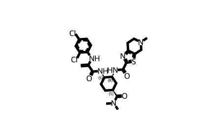 C=C(Nc1ccc(Cl)cc1Cl)C(=O)N[C@H]1CC[C@H](C(=O)N(C)C)C[C@H]1NC(=O)c1nc2c(s1)CN(C)CC2